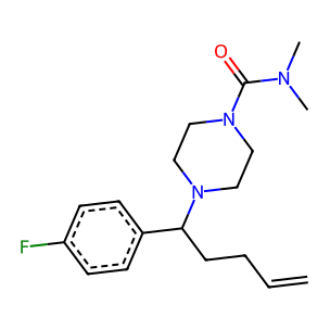 C=CCCC(c1ccc(F)cc1)N1CCN(C(=O)N(C)C)CC1